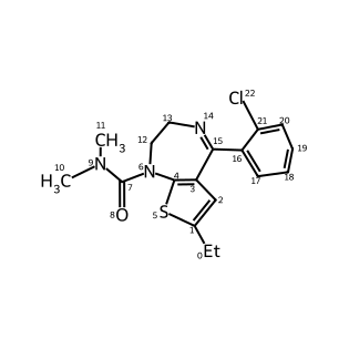 CCc1cc2c(s1)N(C(=O)N(C)C)CCN=C2c1ccccc1Cl